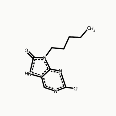 CCCCCn1c(=O)[nH]c2cnc(Cl)nc21